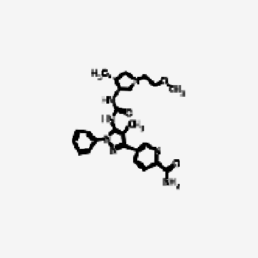 COCCN1C[C@@H](C)[C@H](NC(=O)Nc2c(C)c(-c3ccc(C(N)=O)nc3)nn2-c2ccccc2)C1